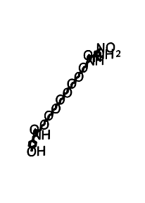 O=C(CCOCCOCCOCCOCCOCCOCCOCCOCCNC(=O)c1cc([N+](=O)[O-])[nH]n1)NCc1ccc(O)cc1